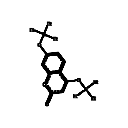 CC[Si](CC)(CC)Oc1ccc2c(O[Si](CC)(CC)CC)cc(=O)oc2c1